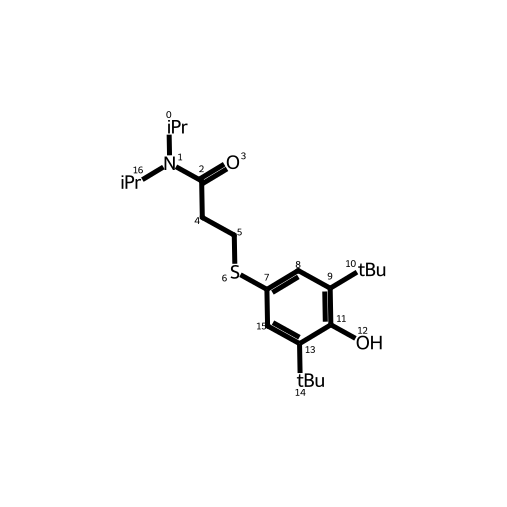 CC(C)N(C(=O)CCSc1cc(C(C)(C)C)c(O)c(C(C)(C)C)c1)C(C)C